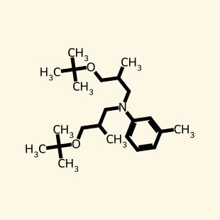 Cc1cccc(N(CC(C)COC(C)(C)C)CC(C)COC(C)(C)C)c1